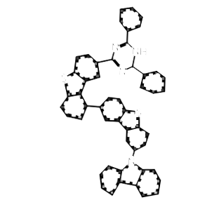 c1ccc(C2=NC(c3ccc4sc5cccc(-c6ccc7sc8ccc(-n9c%10ccccc%10c%10ccccc%109)cc8c7c6)c5c4c3)=NC(c3ccccc3)N2)cc1